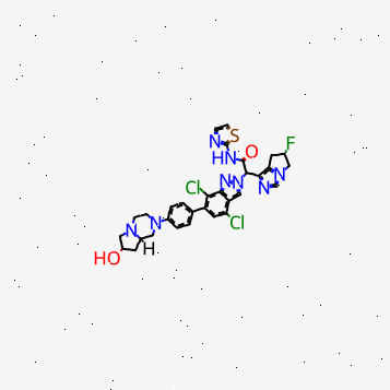 O=C(Nc1nccs1)C(c1ncn2c1C[C@@H](F)C2)n1cc2c(Cl)cc(-c3ccc(N4CCN5C[C@H](O)C[C@H]5C4)cc3)c(Cl)c2n1